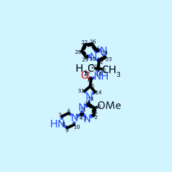 COc1cnc(N2CCNCC2)nc1N1CC(C(=O)NC(C)(C)c2cnc3ccccn23)C1